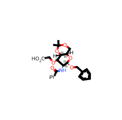 CC(C)C(=O)N[C@H]1[C@@H](OCc2ccccc2)O[C@@H]2COC(C)(C)O[C@H]2[C@@H]1OCC(=O)O